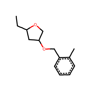 CCC1CC(OCc2ccccc2C)CO1